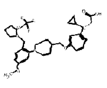 COc1ccc(CN2CCC[C@H]2C(F)(F)F)c(N2CCC(COc3cccc([C@@H](CC(=O)O)C4CC4)c3)CC2)c1